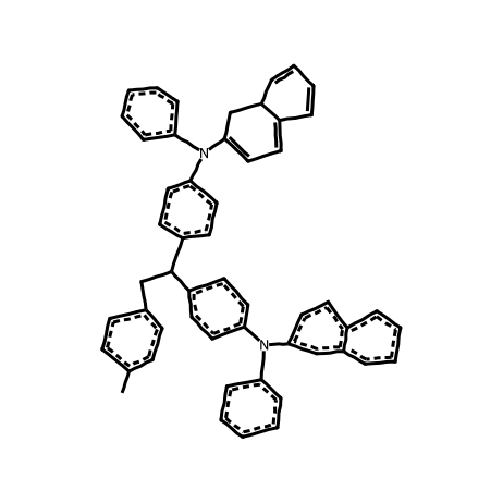 Cc1ccc(CC(c2ccc(N(C3=CC=C4C=CC=CC4C3)c3ccccc3)cc2)c2ccc(N(c3ccccc3)c3ccc4ccccc4c3)cc2)cc1